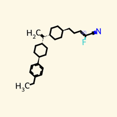 C=C([C@H]1CC[C@H](CC/C=C(\F)C#N)CC1)[C@H]1CC[C@H](c2ccc(CC)cc2)CC1